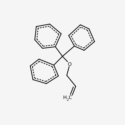 C=CCOC(c1ccccc1)(c1ccccc1)c1ccccc1